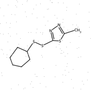 Cc1nnc(SSC2CCCCC2)s1